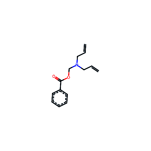 C=CCN(CC=C)COC(=O)c1ccccc1